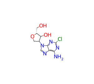 Nc1nc(Cl)nc2c1ncn2C1CO[C@H](CO)C1O